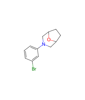 Brc1cccc(N2CC3CCC(C2)O3)c1